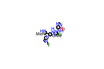 CN/C=C(\C=N)c1cc(Nc2ncc(Br)c(Nc3ccc4nccnc4c3P(C)(C)=O)n2)c(OC)cc1N1CCC2CCN(CCF)C2C1